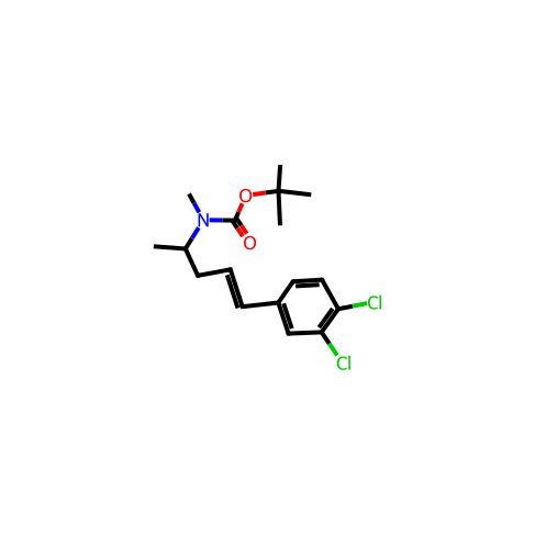 CC(CC=Cc1ccc(Cl)c(Cl)c1)N(C)C(=O)OC(C)(C)C